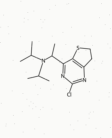 CC(C)N(C(C)C)C(C)c1nc(Cl)nc2c1SCC2